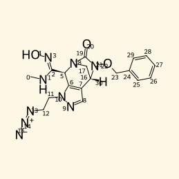 CN/C(=N\O)[C@@H]1c2c(cnn2CCN=[N+]=[N-])[C@@H]2CN1C(=O)N2OCc1ccccc1